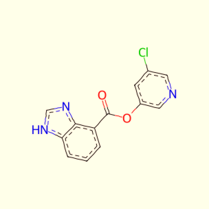 O=C(Oc1cncc(Cl)c1)c1cccc2[nH]cnc12